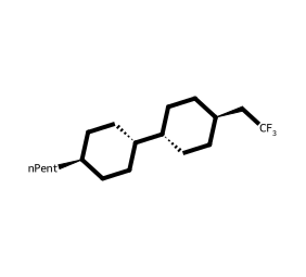 CCCCC[C@H]1CC[C@H]([C@H]2CC[C@H](CC(F)(F)F)CC2)CC1